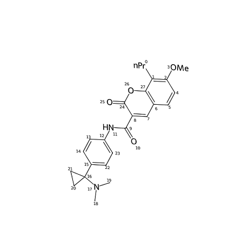 CCCc1c(OC)ccc2cc(C(=O)Nc3ccc(C4(N(C)C)CC4)cc3)c(=O)oc12